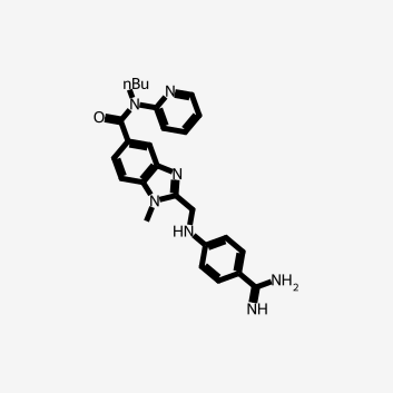 CCCCN(C(=O)c1ccc2c(c1)nc(CNc1ccc(C(=N)N)cc1)n2C)c1ccccn1